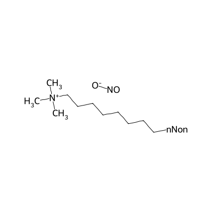 CCCCCCCCCCCCCCCCC[N+](C)(C)C.O=N[O-]